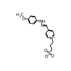 COc1ccc(N/N=C/c2cc[n+](CCCS(=O)(=O)[O-])cc2)cc1